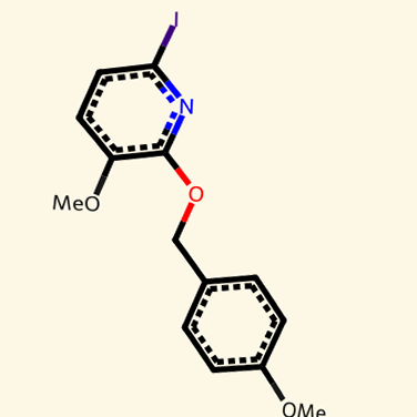 COc1ccc(COc2nc(I)ccc2OC)cc1